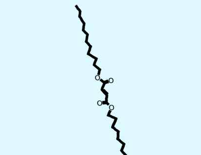 CCCCCCCCCCCCOC(=O)C=CC(=O)OCCCCCCCC